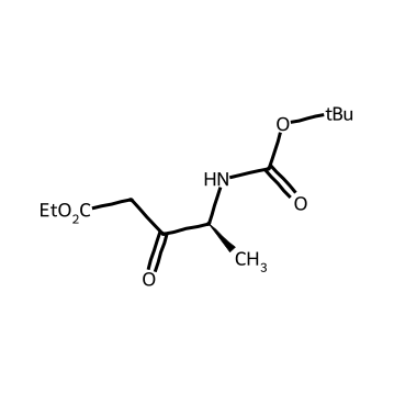 CCOC(=O)CC(=O)[C@H](C)NC(=O)OC(C)(C)C